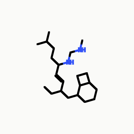 CCC(C=CC(CCC(C)C)NCNC)CC1CCCC2CCC21